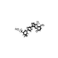 CCCc1ccc(=O)n(Cc2c(-c3cnc(N4C[C@H](CC(=O)O)CC(F)(F)C4)cn3)nnn2C)c1